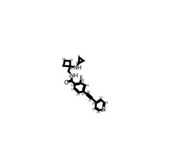 O=C(NCC1(NC2CC2)CCC1)c1ccc(C#Cc2ccncc2)cc1F